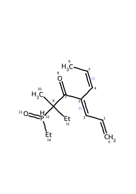 C=C/C=C(\C=C/C)C(=O)C(C)(CC)[PH](=O)CC